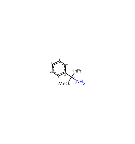 CCCC(N)(OC)c1ccccc1